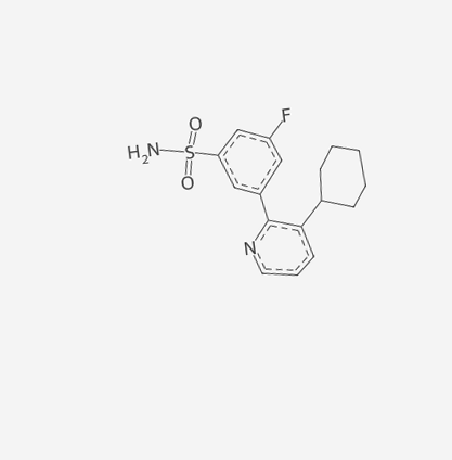 NS(=O)(=O)c1cc(F)cc(-c2ncccc2C2CCCCC2)c1